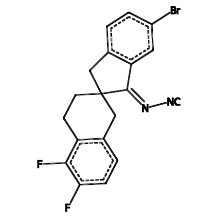 [C-]#[N+]/N=C1\c2cc(Br)ccc2CC12CCc1c(ccc(F)c1F)C2